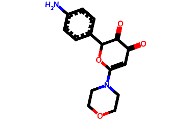 Nc1ccc(C2OC(N3CCOCC3)=CC(=O)C2=O)cc1